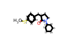 CSc1ccc(CC2CCN(C3CCCCC3)C2=O)cc1